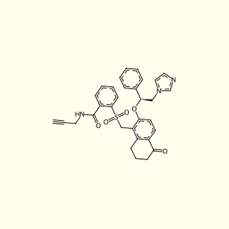 C#CCNC(=O)c1ccccc1S(=O)(=O)Cc1c(O[C@H](Cn2ccnc2)c2ccccc2)ccc2c1CCCC2=O